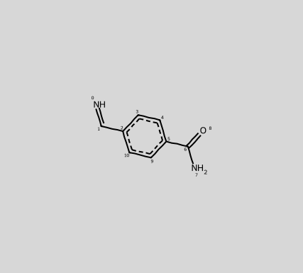 N=Cc1ccc(C(N)=O)cc1